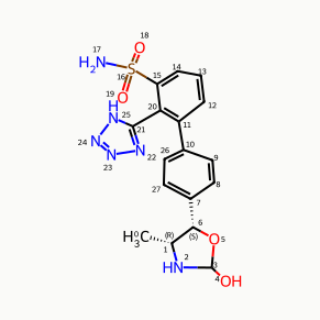 C[C@H]1NC(O)O[C@H]1c1ccc(-c2cccc(S(N)(=O)=O)c2-c2nnn[nH]2)cc1